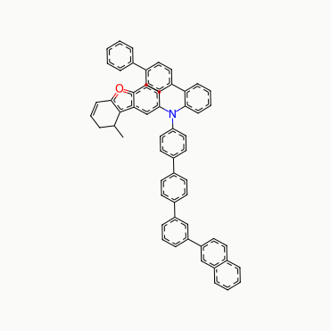 CC1CC=Cc2oc3ccc(N(c4ccc(-c5ccc(-c6cccc(-c7ccc8ccccc8c7)c6)cc5)cc4)c4ccccc4-c4ccc(-c5ccccc5)cc4)cc3c21